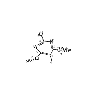 COc1nc(Cl)nc(OC)c1C